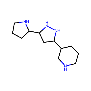 C1CNCC(C2CC(C3CCCN3)NN2)C1